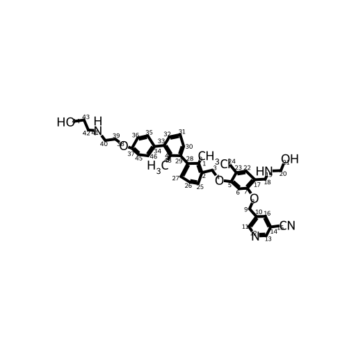 Cc1c(COc2cc(OCc3cncc(C#N)c3)c(CNCO)cc2Cl)cccc1-c1cccc(-c2ccc(OCCNCCO)cc2)c1C